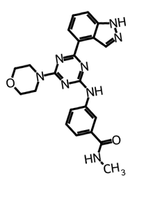 CNC(=O)c1cccc(Nc2nc(-c3cccc4[nH]ncc34)nc(N3CCOCC3)n2)c1